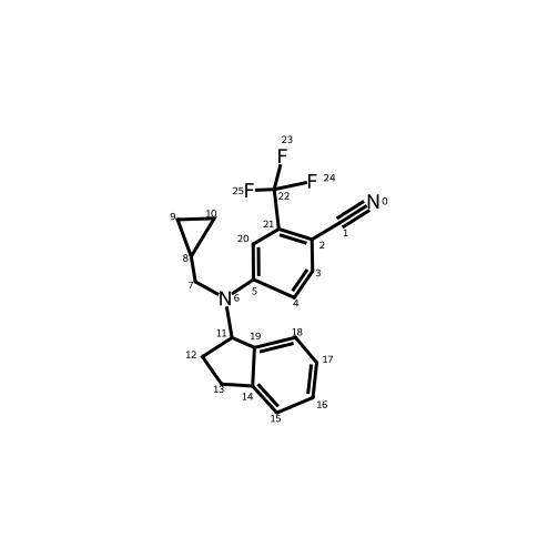 N#Cc1ccc(N(CC2CC2)C2CCc3ccccc32)cc1C(F)(F)F